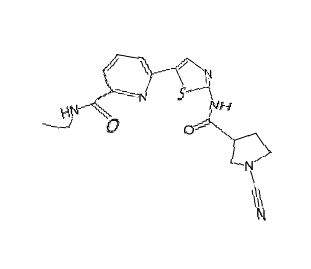 CCNC(=O)c1cccc(-c2cnc(NC(=O)C3CCN(C#N)C3)s2)n1